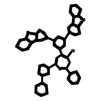 CCC1=C(c2cc(-c3ccc4oc5ccccc5c4c3)cc(-c3ccc4oc5ccccc5c4c3)c2)C=C(c2cccc(-c3ccccc3)c2)N=C(c2ccccc2)C1